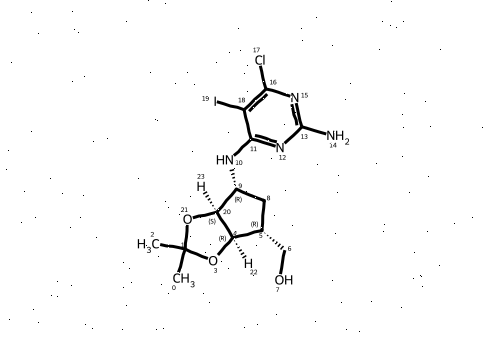 CC1(C)O[C@@H]2[C@@H](CO)C[C@@H](Nc3nc(N)nc(Cl)c3I)[C@@H]2O1